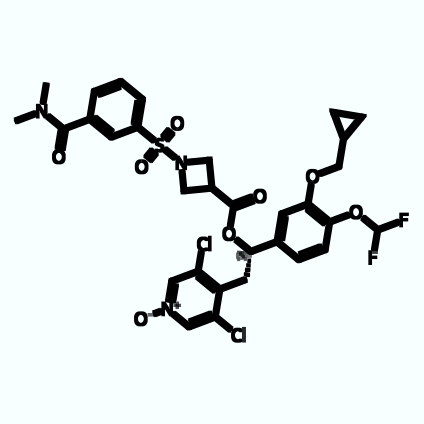 CN(C)C(=O)c1cccc(S(=O)(=O)N2CC(C(=O)O[C@@H](Cc3c(Cl)c[n+]([O-])cc3Cl)c3ccc(OC(F)F)c(OCC4CC4)c3)C2)c1